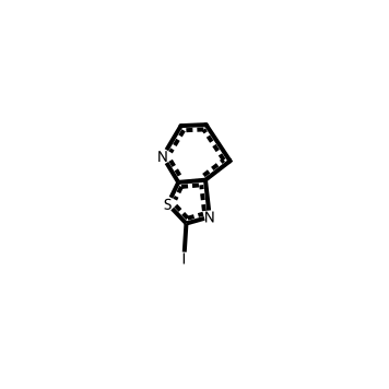 Ic1nc2cccnc2s1